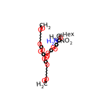 C=CC(=O)OCCCCCCCCCOc1ccc(OC(=O)c2ccc(C(=O)Oc3ccc(OCCCCCCCCCOC(=O)C=C)cc3)c(C(=O)OCc3ccc(OC(=O)c4ccc(-c5cc([N+](=O)[O-])c(O[C@@H](C)CCCCCC)cc5N)cc4)cc3)c2)cc1